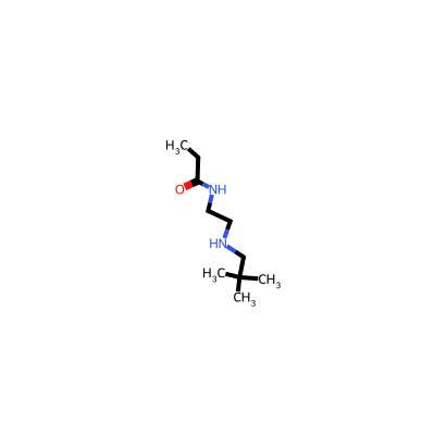 CCC(=O)NCCNCC(C)(C)C